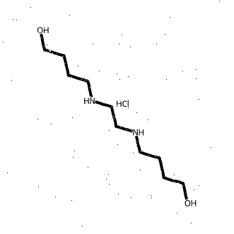 Cl.OCCCCNCCNCCCCO